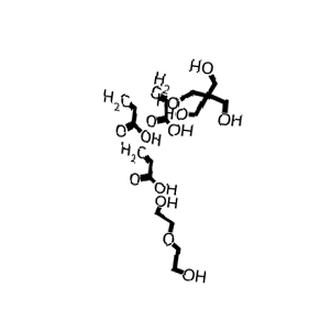 C=CC(=O)O.C=CC(=O)O.C=CC(=O)O.OCC(CO)(CO)CO.OCCOCCO